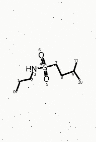 CCCNS(=O)(=O)CCC(C)C